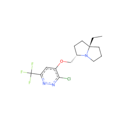 CC[C@@]12CCCN1[C@H](COc1cc(C(F)(F)F)nnc1Cl)CC2